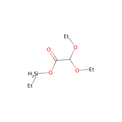 CCOC(OCC)C(=O)O[SiH2]CC